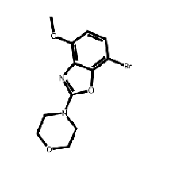 COc1ccc(Br)c2oc(N3CCOCC3)nc12